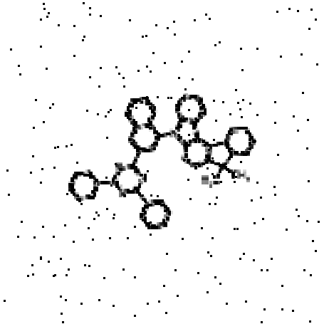 CC1(C)c2ccccc2-c2c1ccc1c2c2ccccc2n1-c1cc(-c2nc(-c3ccccc3)nc(-c3ccccc3)n2)cc2ccccc12